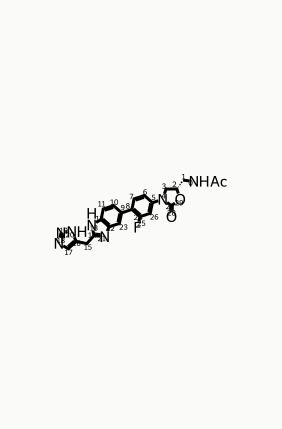 CC(=O)NC[C@H]1CN(c2ccc(-c3ccc4[nH]c(Cc5cnn[nH]5)nc4c3)c(F)c2)C(=O)O1